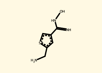 N=C(NO)c1csc(CN)c1